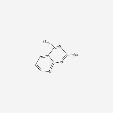 CC(C)(C)c1nc(C(C)(C)C)c2cccnc2n1